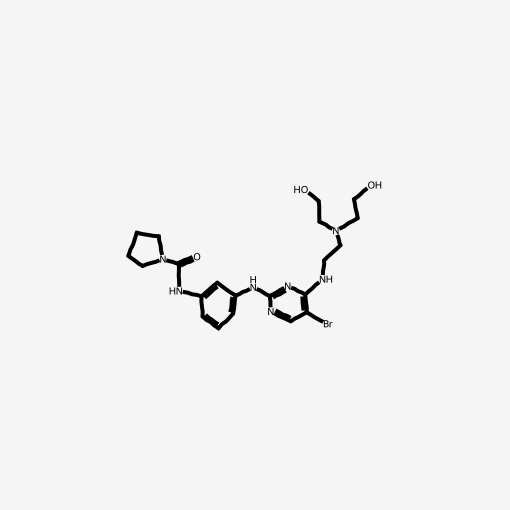 O=C(Nc1cccc(Nc2ncc(Br)c(NCCN(CCO)CCO)n2)c1)N1CCCC1